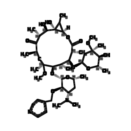 CO[C@]1(C)C[C@H](O[C@H]2[C@H](C)[C@@H](O[C@@H]3O[C@H](C)C[C@H](N(C)C)[C@H]3OCc3ccncc3)[C@@](C)(OC)C[C@@H](C)C(=O)[C@H](C)[C@@H](O)[C@@]3(O)C(C)[C@H]3OC(=O)[C@@H]2C)O[C@@H](C)[C@@H]1O